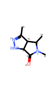 CC1=NNC2C(=O)N(C)C(C)C12